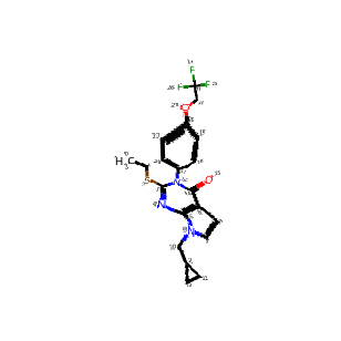 CCSc1nc2c(ccn2CC2CC2)c(=O)n1-c1ccc(OCC(F)(F)F)cc1